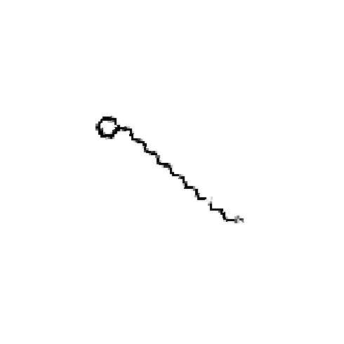 CC(C)CCCOCCCCCCCCCCCCc1ccccc1